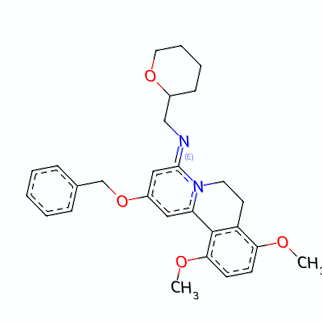 COc1ccc(OC)c2c1CCn1c-2cc(OCc2ccccc2)c/c1=N\CC1CCCCO1